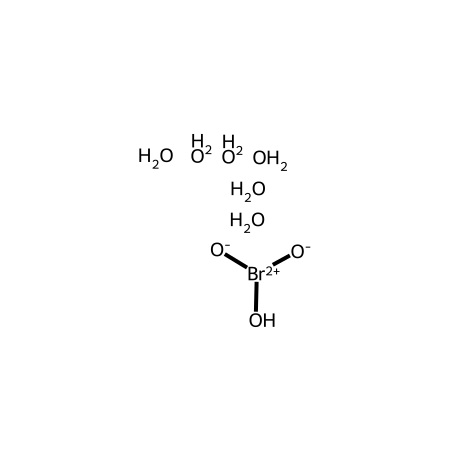 O.O.O.O.O.O.[O-][Br+2]([O-])O